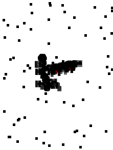 CC/C(=C\c1ccccc1)[C@H]1C[C@@H]1NC1CC2(C1)CN(C(C)(C)C(N)=O)C2.O=C(O)C(F)(F)F.O=C(O)C(F)(F)F.O=C(O)C(F)(F)F.O=C(O)C(F)(F)F